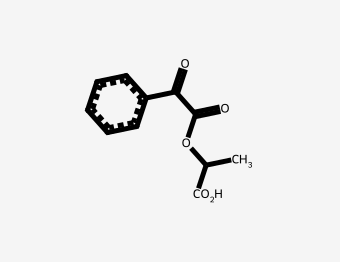 CC(OC(=O)C(=O)c1ccccc1)C(=O)O